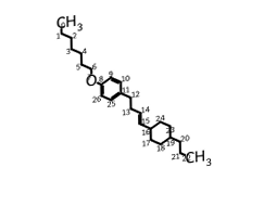 CCCCCCCOc1ccc(CCC=CC2CCC(CCC)CC2)cc1